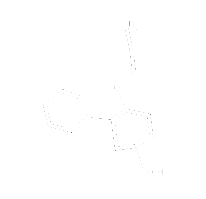 C=C=COc1ccc(C(=O)O)cc1-c1ccccc1